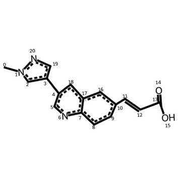 Cn1cc(-c2cnc3ccc(/C=C/C(=O)O)cc3c2)cn1